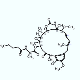 COc1cc2cc(c1Cl)N(C)C(=O)C[C@@H](OC(=O)[C@@H](C)NC(=O)CCSC)[C@]1(C)O[C@@H]1[C@@H](C)[C@@H]1C[C@](O)(NC(=O)O1)[C@@H](OC)/C=C/C=C(\C)C2